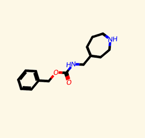 O=C(NCC1CCCNCC1)OCc1ccccc1